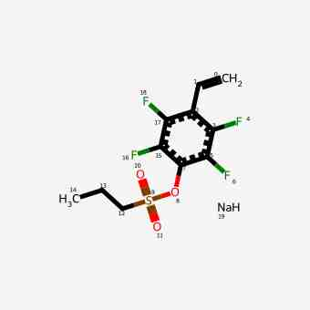 C=Cc1c(F)c(F)c(OS(=O)(=O)CCC)c(F)c1F.[NaH]